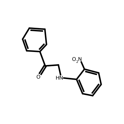 O=C(CNc1ccccc1[N+](=O)[O-])c1ccccc1